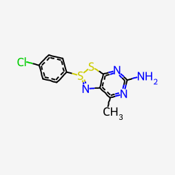 Cc1nc(N)nc2c1N=S(c1ccc(Cl)cc1)S2